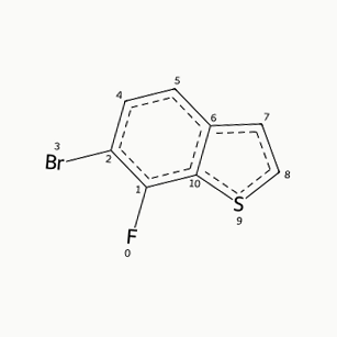 Fc1c(Br)ccc2ccsc12